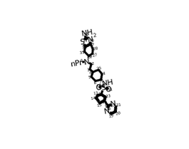 CCCN(CCC1CCC(NS(=O)(=O)c2cccc(-c3ncccn3)c2)CC1)[C@H]1CCc2nc(N)sc2C1